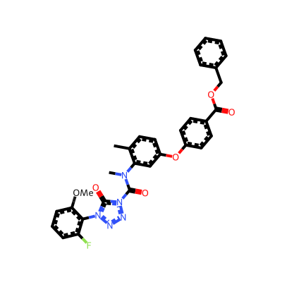 COc1cccc(F)c1-n1nnn(C(=O)N(C)c2cc(Oc3ccc(C(=O)OCc4ccccc4)cc3)ccc2C)c1=O